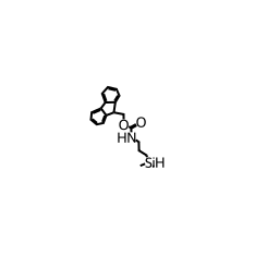 C[SiH](C)CCCNC(=O)OCC1c2ccccc2-c2ccccc21